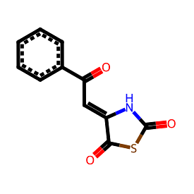 O=C1NC(=CC(=O)c2ccccc2)C(=O)S1